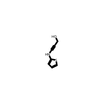 OCC#CNc1cccs1